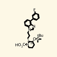 CC(C)(C)[Si](C)(C)O[C@H]1CCCN(C(=O)O)[C@@H]1CCCn1cnc2c(-c3cccc(F)c3)cccc21